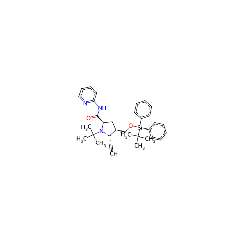 C#C[C@H]1[C@H](CO[Si](c2ccccc2)(c2ccccc2)C(C)(C)C)C[C@H](C(=O)Nc2ccccn2)N1C(C)(C)C